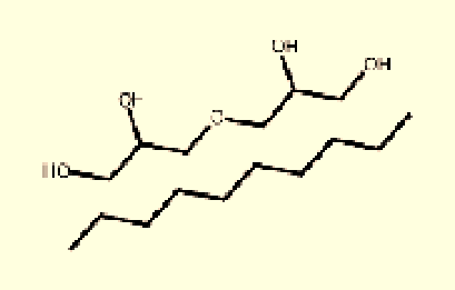 CCCCCCCCCC.OCC(O)COCC(O)CO